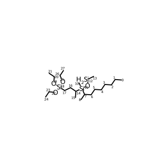 CCCCCCCC(C)[Si](C)(O[SiH2]C)C(C)CC[Si](OCC)(OCC)OCC